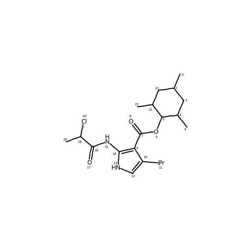 CC1CC(C)C(OC(=O)c2c(C(C)C)c[nH]c2NC(=O)C(C)Cl)C(C)C1